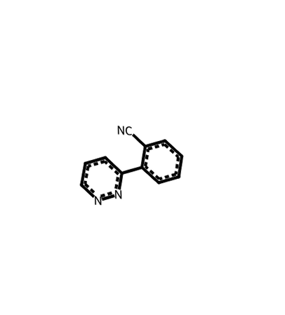 N#Cc1ccccc1-c1cccnn1